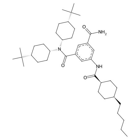 CCCCC[C@H]1CC[C@@H](C(=O)Nc2cc(C(N)=O)cc(C(=O)N([C@H]3CC[C@@H](C(C)(C)C)CC3)[C@H]3CC[C@@H](C(C)(C)C)CC3)c2)CC1